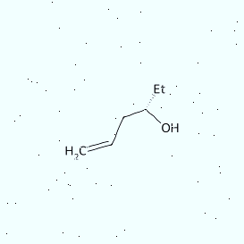 C=CC[C@@H](O)CC